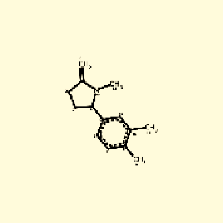 C=C1CCC(c2ccc(C)c(C)c2)N1C